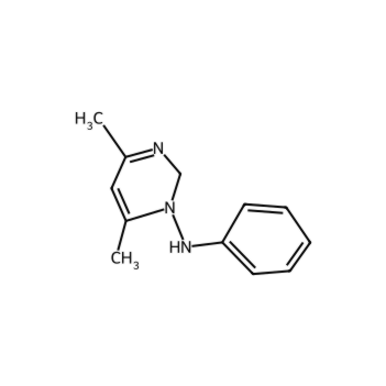 CC1=CC(C)=NCN1Nc1ccccc1